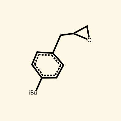 CCC(C)c1ccc([CH]C2CO2)cc1